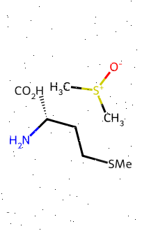 CSCC[C@H](N)C(=O)O.C[S+](C)[O-]